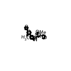 COc1nc(N2CCOCC2)cc(-n2ncc3cc(C)c(C4CCN(C5CCOC5)CC4F)cc32)n1